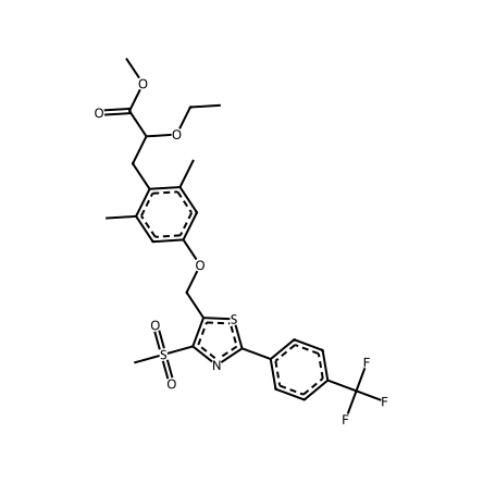 CCOC(Cc1c(C)cc(OCc2sc(-c3ccc(C(F)(F)F)cc3)nc2S(C)(=O)=O)cc1C)C(=O)OC